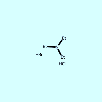 Br.CCN(CC)CC.Cl